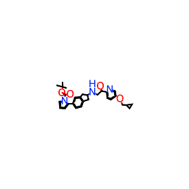 CC(C)(C)OC(=O)n1cccc1-c1ccc2c(c1)CC(NCC(=O)c1ccc(OCC3CC3)cn1)C2